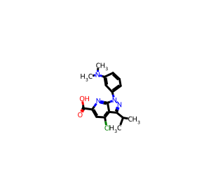 CC(C)c1nn(-c2cccc(N(C)C)c2)c2nc(C(=O)O)cc(Cl)c12